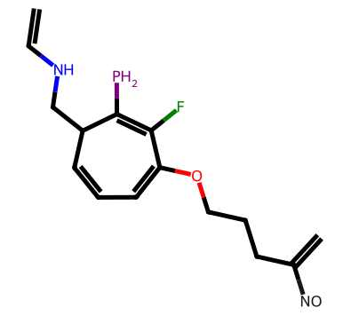 C=CNCC1C=CC=C(OCCCC(=C)N=O)C(F)=C1P